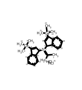 C[C](C)=[Zr]([CH]1C=[C]([Ge]([CH3])([CH3])[CH3])c2ccccc21)[CH]1C=[C]([Ge]([CH3])([CH3])[CH3])c2ccccc21.Cl.Cl